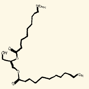 [CH2]CCCCCCCCCCCCCCCCCCC(=O)OCC(CO)OC(=O)CCCCCCCCCCCCCCCCC